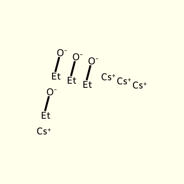 CC[O-].CC[O-].CC[O-].CC[O-].[Cs+].[Cs+].[Cs+].[Cs+]